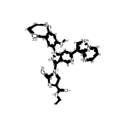 CCOC(=O)C1CN(c2nn(-c3cc4c(cc3OC)NCCO4)c3cc(-c4cnn5cccnc45)ncc23)C(=O)O1